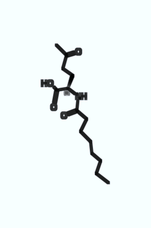 CCCCCCCC(=O)N[C@H](CCC(C)=O)C(=O)O